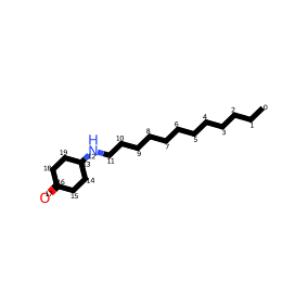 CCCCCCCCCCCCNC1CCC(=O)CC1